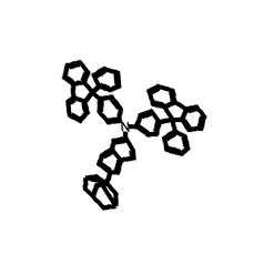 c1ccc(C2(c3ccc(N(c4ccc(C5(c6ccccc6)c6ccccc6-c6ccccc65)cc4)c4ccc5cc(C67CC8CC(CC(C8)C6)C7)ccc5c4)cc3)c3ccccc3-c3ccccc32)cc1